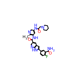 Cc1ncc(NC(=O)CN2CCCCC2)cc1NC(=O)c1cnc2[nH]c(-c3ccc(F)c(C(N)=O)c3)cc2c1